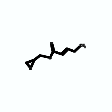 CCC=CC(=O)OCC1CO1